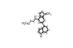 COCCNc1nc(-c2cccc3[nH]ncc23)nc2c1cnn2C